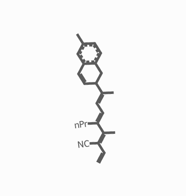 C=C/C(C#N)=C(C)/C(=C/C=C(\C)C1C=Cc2cc(C)ccc2C1)CCC